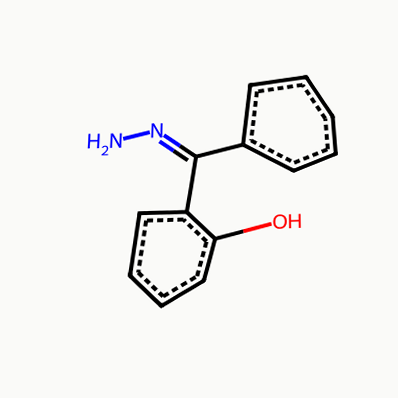 N/N=C(/c1ccccc1)c1ccccc1O